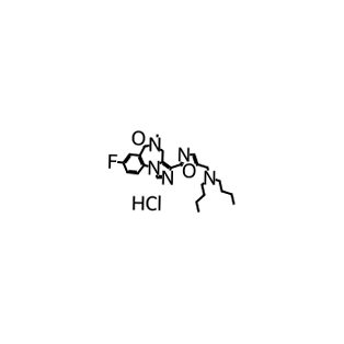 CCCCN(CCCC)Cc1cnc(-c2ncn3c2CN(C)C(=O)c2cc(F)ccc2-3)o1.Cl